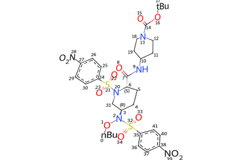 CCCCON([C@@H]1CC[C@@H](C(=O)NC2CCN(C(=O)OC(C)(C)C)CC2)N(S(=O)(=O)c2ccc([N+](=O)[O-])cc2)C1)S(=O)(=O)c1ccc([N+](=O)[O-])cc1